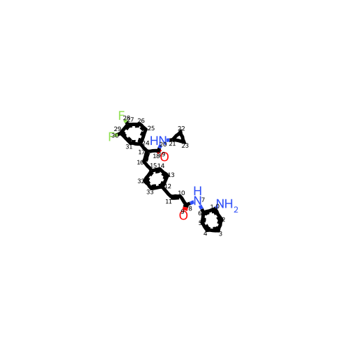 Nc1ccccc1NC(=O)C=Cc1ccc(C=C(C(=O)NC2CC2)c2ccc(F)c(F)c2)cc1